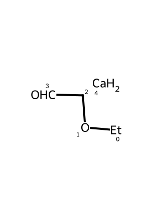 CCOCC=O.[CaH2]